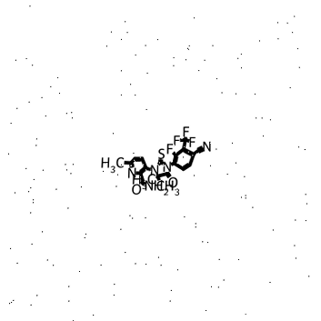 Cc1ccc(N2C(=S)N(c3ccc(C#N)c(C(F)(F)F)c3F)C(=O)C2(C)C)c(C(N)=O)n1